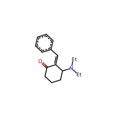 CCN(CC)C1CCCC(=O)C1=Cc1ccccc1